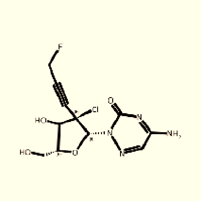 Nc1cnn([C@@H]2O[C@H](CO)C(O)[C@]2(Cl)C#CCF)c(=O)n1